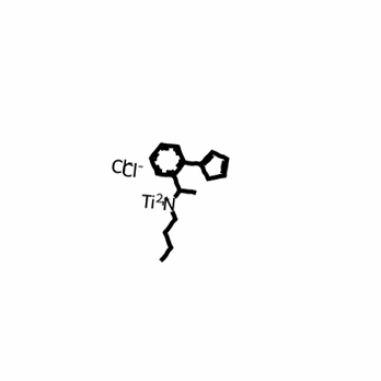 CCCC[N]([Ti+2])C(C)c1ccccc1C1=CC=CC1.[Cl-].[Cl-]